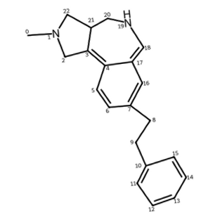 CN1CC2=c3ccc(CCc4ccccc4)cc3=CNCC2C1